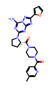 Cc1ccc(C(=O)N2CCN(C(=O)[C@@H]3CCCN3c3nc(N)n4nc(-c5ccco5)nc4n3)CC2)nc1